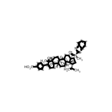 C=C(C)[C@@H]1CC[C@]2(C(=O)N(C)c3nc4ccccc4s3)CC[C@]3(C)[C@H](CC[C@@H]4[C@@]5(C)CC=C(c6ccc(C(=O)O)cc6)C(C)(C)[C@@H]5CC[C@]43C)[C@@H]12